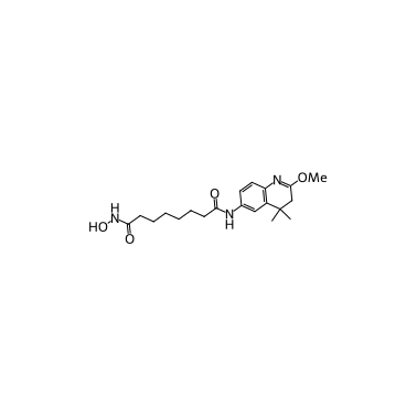 COC1=Nc2ccc(NC(=O)CCCCCCC(=O)NO)cc2C(C)(C)C1